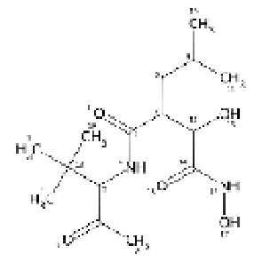 CC(=O)C(NC(=O)C(CC(C)C)C(O)C(=O)NO)C(C)(C)C